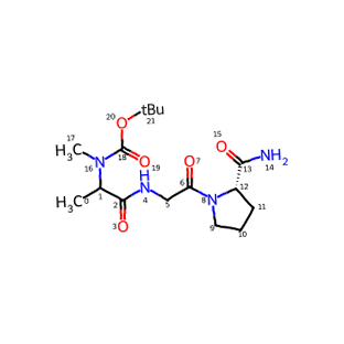 CC(C(=O)NCC(=O)N1CCC[C@H]1C(N)=O)N(C)C(=O)OC(C)(C)C